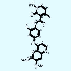 COc1cc2nccc(Oc3ccc(NC(=O)c4c(C)ccn(C(C)C)c4=O)c(F)c3)c2nc1OC